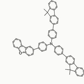 CC1(C)c2ccccc2-c2ccc(-c3ccc(N(c4ccc(-c5ccc6c(c5)C(C)(C)c5ccccc5-6)cc4)c4ccc(-c5ccc6oc7ccccc7c6c5)cc4)cc3)cc21